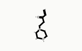 C=CC(=O)CCN1CCOCC1